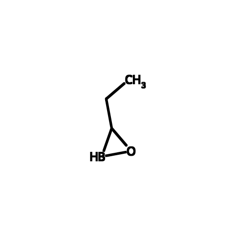 CCC1BO1